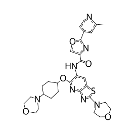 Cc1cc(-c2nc(C(=O)Nc3cc4sc(N5CCOCC5)nc4nc3OC3CCC(N4CCOCC4)CC3)co2)ccn1